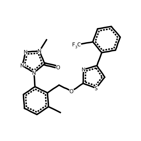 Cc1cccc(-n2nnn(C)c2=O)c1COc1nc(-c2ccccc2C(F)(F)F)cs1